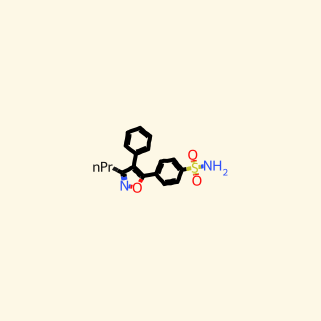 CCCc1noc(-c2ccc(S(N)(=O)=O)cc2)c1-c1ccccc1